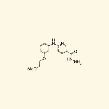 COCCOc1cccc(Nc2ccc(C(=O)NN)cn2)c1